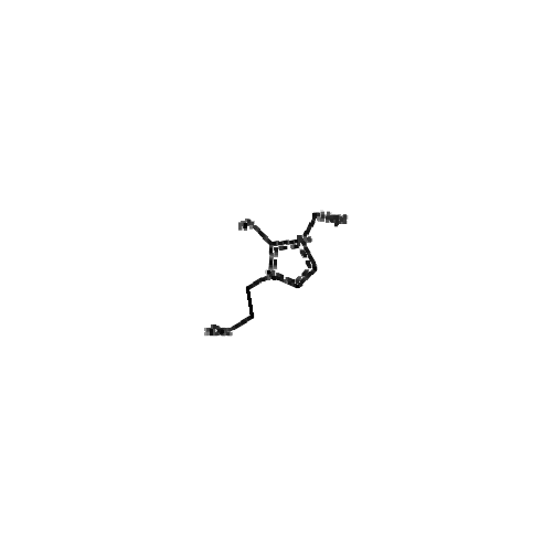 CCCCCCCCCCCCn1cc[n+](CCCCCCC)c1CCC